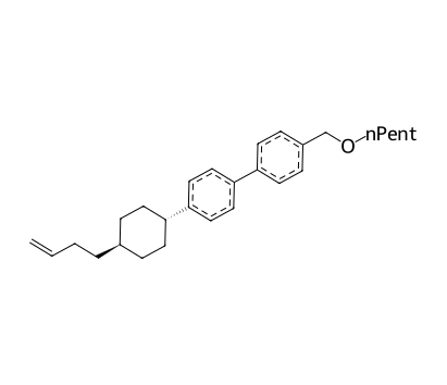 C=CCC[C@H]1CC[C@H](c2ccc(-c3ccc(COCCCCC)cc3)cc2)CC1